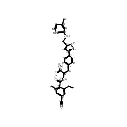 CCc1cc(C#N)cc(C)c1C(=O)NC(Cc1ccc(-c2cc(CNc3cc(C)ccn3)sn2)cc1)C(=O)O